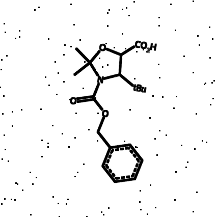 CC(C)(C)C1C(C(=O)O)OC(C)(C)N1C(=O)OCc1ccccc1